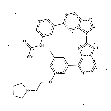 CCCC(=O)Nc1cncc(-c2cc3c(-c4nc5c(-c6cc(F)cc(OCCN7CCCC7)c6)nccc5[nH]4)n[nH]c3cn2)c1